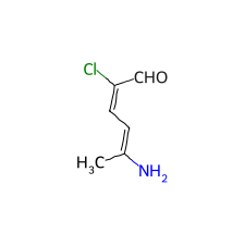 C/C(N)=C\C=C(\Cl)C=O